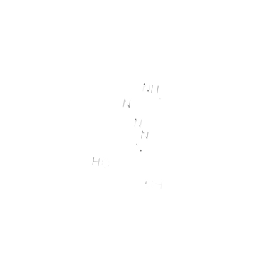 Nc1ncn2c1ccn2N(CCO)CCO